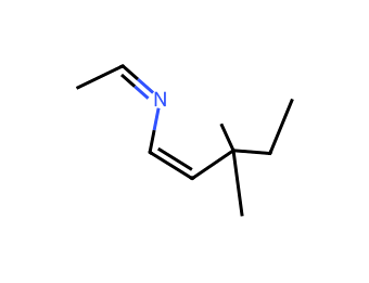 C/C=N\C=C/C(C)(C)CC